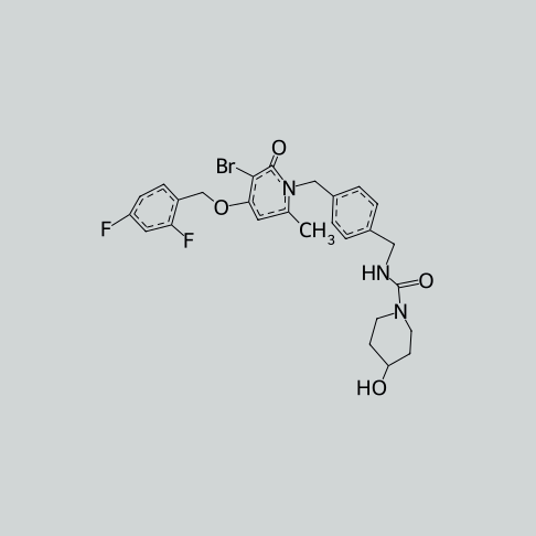 Cc1cc(OCc2ccc(F)cc2F)c(Br)c(=O)n1Cc1ccc(CNC(=O)N2CCC(O)CC2)cc1